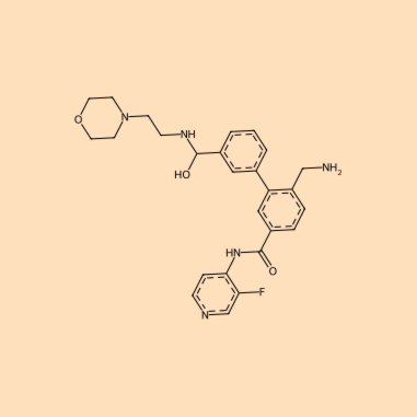 NCc1ccc(C(=O)Nc2ccncc2F)cc1-c1cccc(C(O)NCCN2CCOCC2)c1